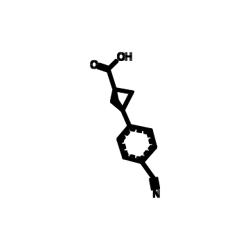 N#Cc1ccc(C23CC(C(=O)O)(C2)C3)cc1